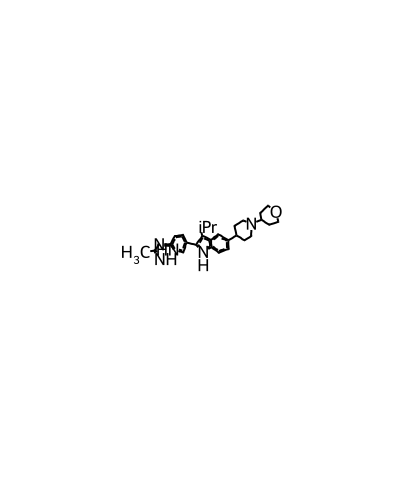 CC(=N)/N=c1/ccc(-c2[nH]c3ccc(C4CCN(C5CCOCC5)CC4)cc3c2C(C)C)c[nH]1